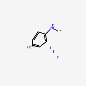 CC[NH2+]c1ccccc1.[I-].[I-].[I-].[Pb+2]